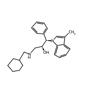 Cc1cn([C@H](c2ccccc2)[C@@H](O)CNCC2CCCCC2)c2ccccc12